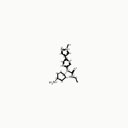 CCNC(=O)N(c1cnc(-c2cnn(C)c2)cn1)[C@H]1CC[C@H](N)CC1